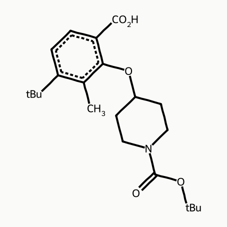 Cc1c(C(C)(C)C)ccc(C(=O)O)c1OC1CCN(C(=O)OC(C)(C)C)CC1